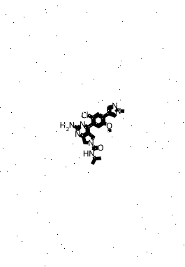 COc1cc(-c2nc(N)nc3c2CN(C(=O)NC(C)C)C3)c(Cl)cc1-c1cnn(C)c1